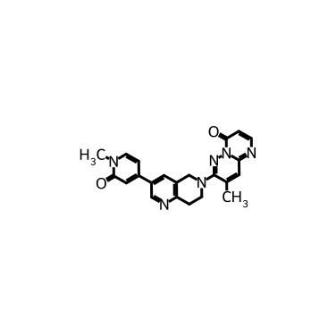 Cc1cc2nccc(=O)n2nc1N1CCc2ncc(-c3ccn(C)c(=O)c3)cc2C1